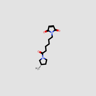 C[C@H]1CCN(C(=O)CCCCCN2C(=O)C=CC2=O)C1